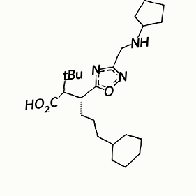 CC(C)(C)C(C(=O)O)[C@@H](CCCC1CCCCC1)c1nc(CNC2CCCC2)no1